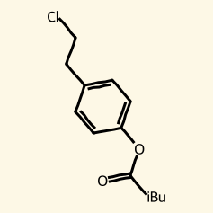 CCC(C)C(=O)Oc1ccc(CCCl)cc1